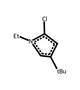 CCn1cc(C(C)(C)C)cc1Cl